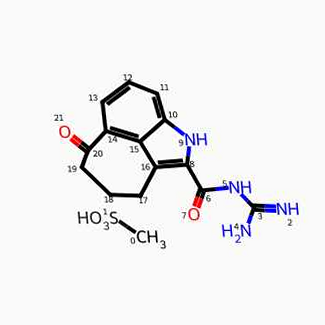 CS(=O)(=O)O.N=C(N)NC(=O)c1[nH]c2cccc3c2c1CCCC3=O